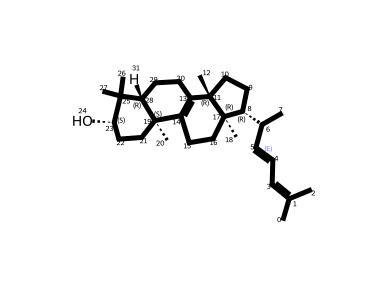 CC(C)=C/C=C/C(C)[C@H]1CC[C@@]2(C)C3=C(CC[C@]12C)[C@@]1(C)CC[C@H](O)C(C)(C)[C@@H]1CC3